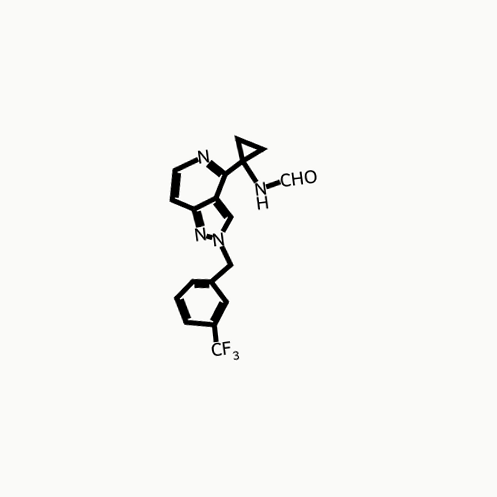 O=CNC1(c2nccc3nn(Cc4cccc(C(F)(F)F)c4)cc23)CC1